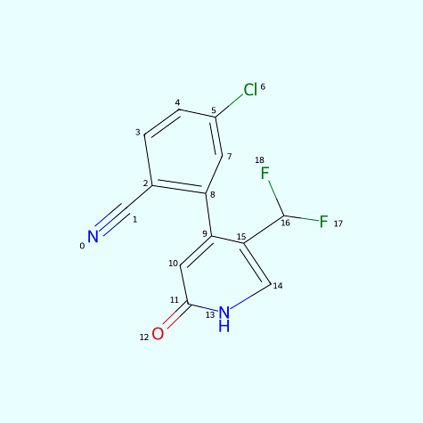 N#Cc1ccc(Cl)cc1-c1cc(=O)[nH]cc1C(F)F